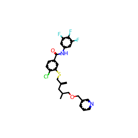 C=C(CSc1cc(C(=O)Nc2cc(F)c(F)c(F)c2)ccc1Cl)CC(C)COCc1cccnc1